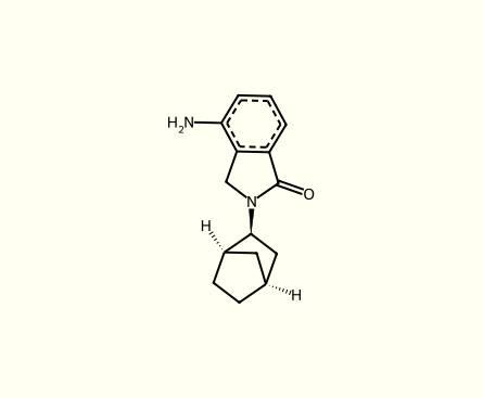 Nc1cccc2c1CN([C@H]1C[C@H]3CC[C@@H]1C3)C2=O